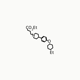 CCOC(=O)CCCN1CCC(c2ccc(O[C@H]3CC[C@@H](CC)CC3)cc2)CC1